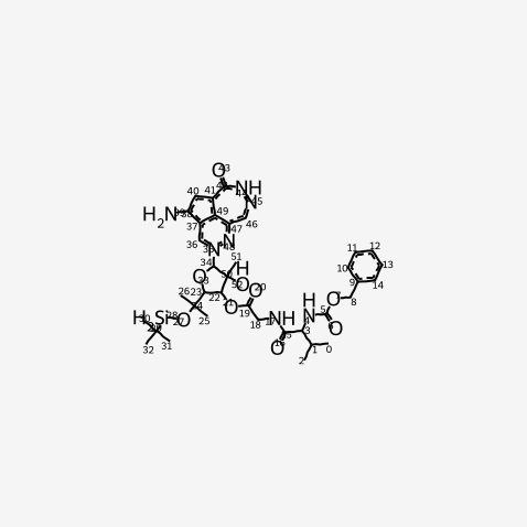 CC(C)C(NC(=O)OCc1ccccc1)C(=O)NCC(=O)OC1C(C(C)(C)O[SiH2]C(C)(C)C)OC(n2cc3c(N)cc4c(=O)[nH]ncc(n2)c34)C1(C)O